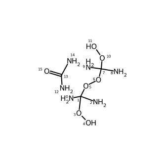 NC(N)(OO)OOC(N)(N)OO.NC(N)=O